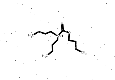 CCCCO[C](=O)[SnH]([CH2]CCC)[CH2]CCC